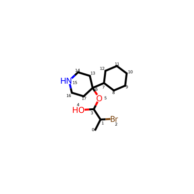 CC(Br)C(O)OC1(C2CCCCC2)CCNCC1